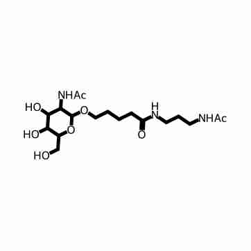 CC(=O)NCCCNC(=O)CCCCOC1OC(CO)C(O)C(O)C1NC(C)=O